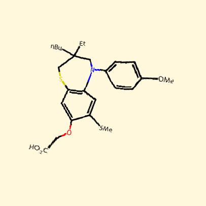 CCCCC1(CC)CSc2cc(OCC(=O)O)c(SC)cc2N(c2ccc(OC)cc2)C1